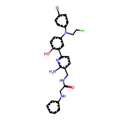 Nc1nc(-c2cc(N(CCF)c3ccc(Cl)cc3)ccc2O)ccc1CNC(=O)CNc1ccccc1